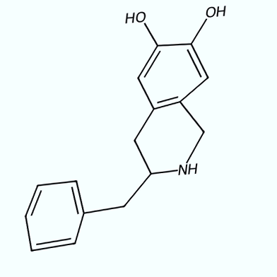 Oc1cc2c(cc1O)CC(Cc1ccccc1)NC2